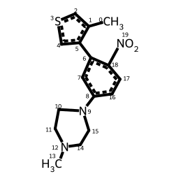 Cc1cscc1-c1cc(N2CCN(C)CC2)ccc1[N+](=O)[O-]